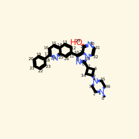 CN1CCN(C2CC(c3nc(-c4ccc5ccc(-c6ccccc6)nc5c4)c4c(O)nccn34)C2)CC1